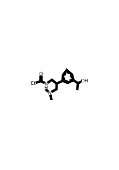 CCC(=O)NCC(CN(C)C)c1cccc(C(C)O)c1